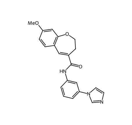 COc1ccc2c(c1)OCCC(C(=O)Nc1cccc(-n3ccnc3)c1)=C2